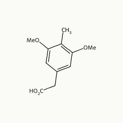 COc1cc(CC(=O)O)cc(OC)c1C